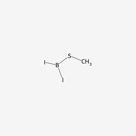 CSB(I)I